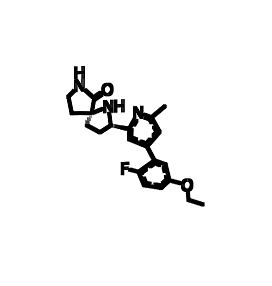 CCOc1ccc(F)c(-c2cc(C)nc([C@H]3CC[C@@]4(CCNC4=O)N3)c2)c1